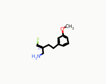 COc1cccc(CC/C(=C\F)CN)c1